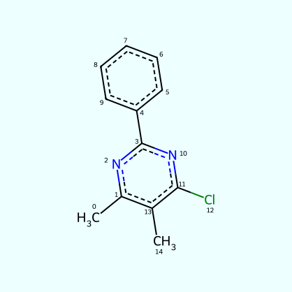 Cc1nc(-c2ccccc2)nc(Cl)c1C